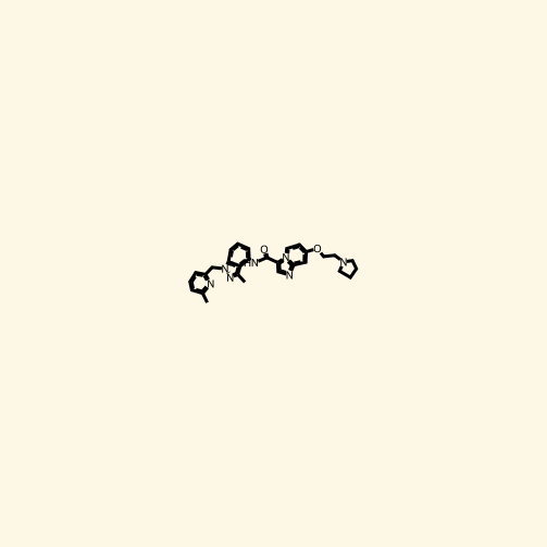 Cc1cccc(Cn2nc(C)c3c(NC(=O)c4cnc5cc(OCCN6CCCC6)ccn45)cccc32)n1